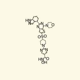 O=C(NO)c1cnc(N2CCC(S(=O)(=O)c3cc4nc(-c5cccc6[nH]ncc56)nc(N5CCOCC5)c4s3)CC2)nc1